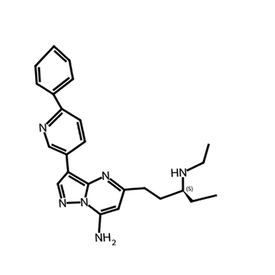 CCN[C@@H](CC)CCc1cc(N)n2ncc(-c3ccc(-c4ccccc4)nc3)c2n1